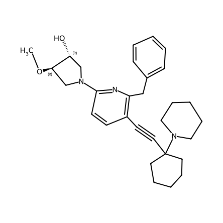 CO[C@@H]1CN(c2ccc(C#CC3(N4CCCCC4)CCCCC3)c(Cc3ccccc3)n2)C[C@H]1O